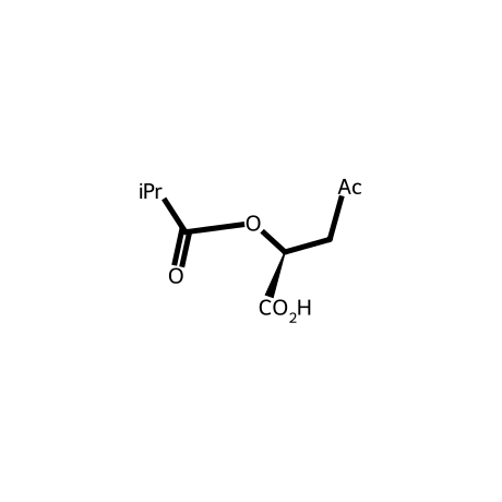 CC(=O)C[C@H](OC(=O)C(C)C)C(=O)O